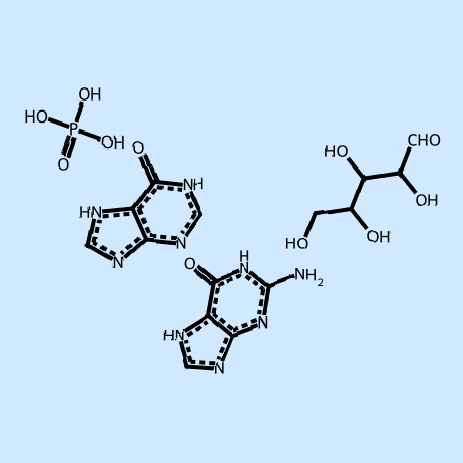 Nc1nc2nc[nH]c2c(=O)[nH]1.O=CC(O)C(O)C(O)CO.O=P(O)(O)O.O=c1[nH]cnc2nc[nH]c12